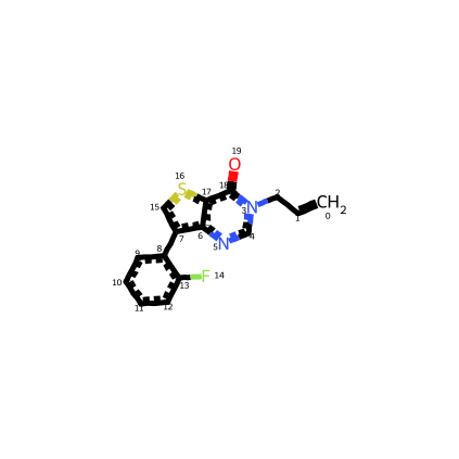 C=CCn1cnc2c(-c3ccccc3F)csc2c1=O